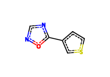 c1noc(-c2ccsc2)n1